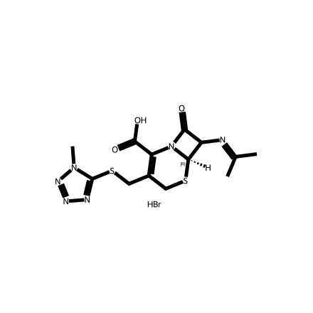 Br.CC(C)=NC1C(=O)N2C(C(=O)O)=C(CSc3nnnn3C)CS[C@H]12